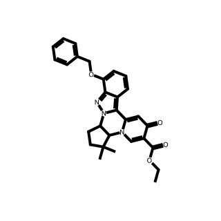 CCOC(=O)c1cn2c(cc1=O)-c1c3cccc(OCc4ccccc4)c3nn1C1CCC(C)(C)C12